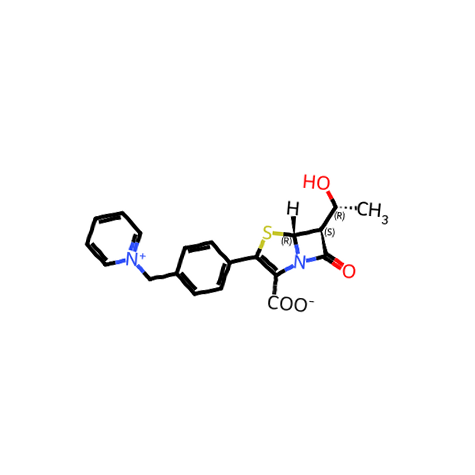 C[C@@H](O)[C@H]1C(=O)N2C(C(=O)[O-])=C(c3ccc(C[n+]4ccccc4)cc3)S[C@H]12